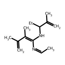 C=C(C)/C(C)=C(\N=C/C)NC(CC)C(=C)C